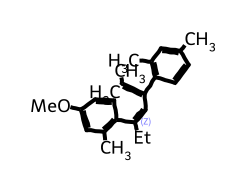 CC/C(=C/C(=C(C)C)c1ccc(C)cc1C)c1ccc(OC)cc1C